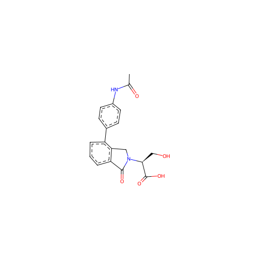 CC(=O)Nc1ccc(-c2cccc3c2CN([C@@H](CO)C(=O)O)C3=O)cc1